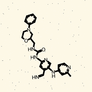 Cc1cc(Nc2cnc(NC(=O)NCC3CN(c4ccccc4)CCO3)cc2C=N)ccn1